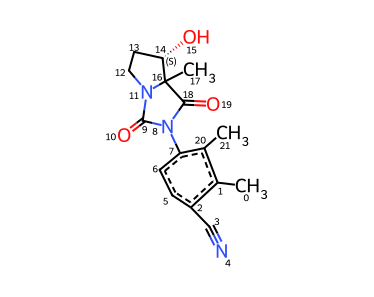 Cc1c(C#N)ccc(N2C(=O)N3CC[C@H](O)C3(C)C2=O)c1C